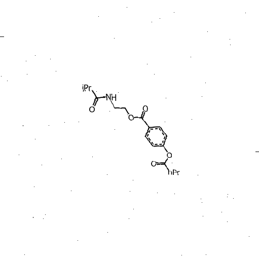 CCCC(=O)Oc1ccc(C(=O)OCCNC(=O)C(C)C)cc1